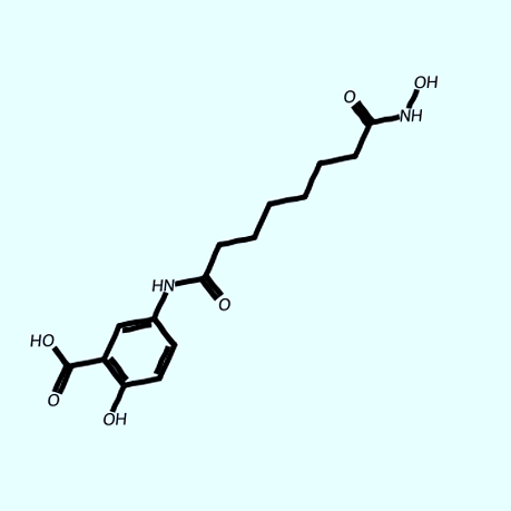 O=C(CCCCCCC(=O)Nc1ccc(O)c(C(=O)O)c1)NO